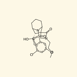 COCCN1CC2(C1=O)C1CCCC([C@H]2C(=O)O)N1S(=O)(=O)c1cc(Cl)cc(Cl)c1